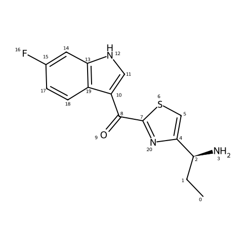 CC[C@H](N)c1csc(C(=O)c2c[nH]c3cc(F)ccc23)n1